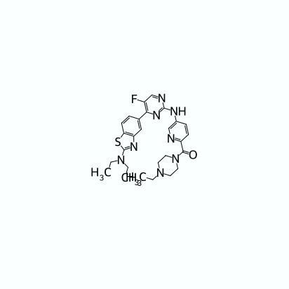 CCN1CCN(C(=O)c2ccc(Nc3ncc(F)c(-c4ccc5sc(N(CC)CC)nc5c4)n3)cn2)CC1